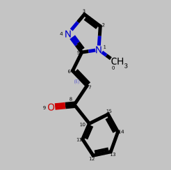 Cn1ccnc1/C=C/C(=O)c1ccccc1